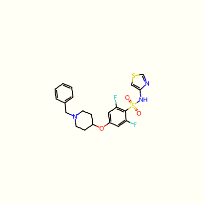 O=S(=O)(Nc1cscn1)c1c(F)cc(OC2CCN(Cc3ccccc3)CC2)cc1F